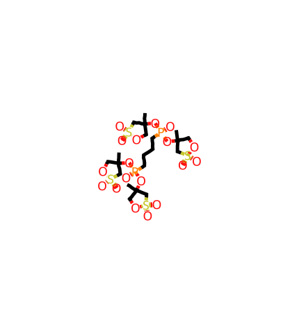 CC1(OP(=O)(CCCCP(=O)(OC2(C)COS(=O)(=O)C2)OC2(C)COS(=O)(=O)C2)OC2(C)COS(=O)(=O)C2)COS(=O)(=O)C1